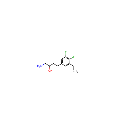 CCc1cc(CCC(O)CN)cc(Cl)c1F